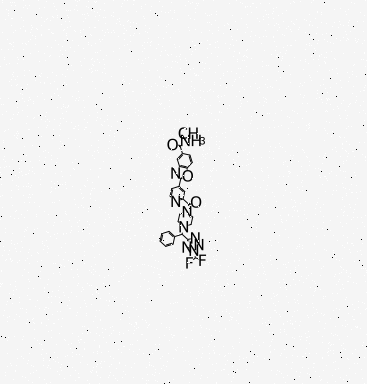 CNC(=O)c1ccc2oc(-c3ccnc(C(=O)N4CCN(C(c5ccccc5)c5nnn(C(F)F)n5)CC4)c3)nc2c1